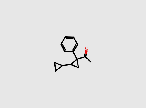 CC(=O)C1(c2ccccc2)CC1C1CC1